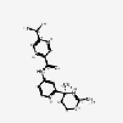 C[C@@]1(c2cc(NC(=O)c3cnc(C(F)F)cn3)ccn2)CCSC(N)=N1